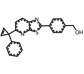 OCc1ccc(-c2nc3ccc(C4(c5ccccc5)C=C4)nc3s2)cc1